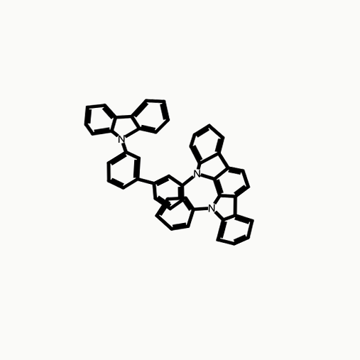 c1ccc(-n2c3ccccc3c3ccc4c5ccccc5n(-c5cccc(-c6cccc(-n7c8ccccc8c8ccccc87)c6)c5)c4c32)cc1